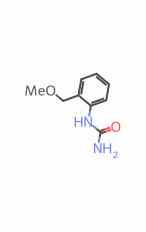 COCc1ccccc1NC(N)=O